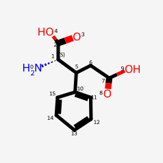 N[C@H](C(=O)O)C(CC(=O)O)c1ccccc1